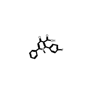 Cn1c(-c2ccccc2)cc(=O)c(C(=O)O)c1-c1ccc(F)cc1